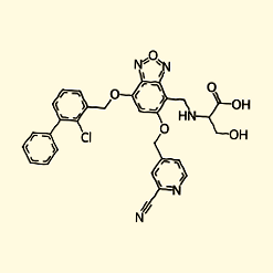 N#Cc1cc(COc2cc(OCc3cccc(-c4ccccc4)c3Cl)c3nonc3c2CNC(CO)C(=O)O)ccn1